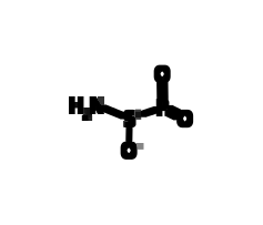 N[S+]([O-])P(=O)=O